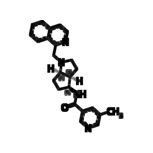 Cc1cncc(C(=O)N[C@H]2CC[C@@H]3[C@H]2CCN3Cc2nccc3ccccc23)c1